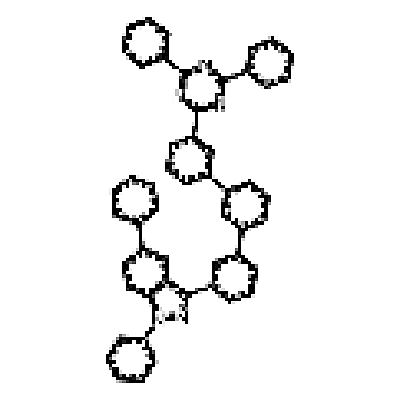 c1ccc(-c2ccc3c(c2)c(-c2cccc(-c4cccc(-c5cccc(-c6nc(-c7ccccc7)nc(-c7ccccc7)n6)c5)c4)c2)nn3-c2ccccc2)cc1